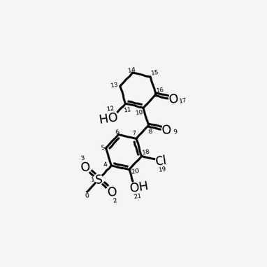 CS(=O)(=O)c1ccc(C(=O)C2=C(O)CCCC2=O)c(Cl)c1O